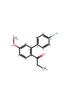 CCC(=O)c1ccc(OC)cc1-c1ccc(F)cc1